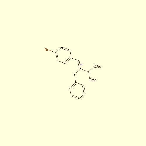 CC(=O)OC(OC(C)=O)/C(=C/c1ccc(Br)cc1)Cc1ccccc1